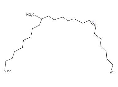 CCCCCCCCCCCCCCCCCCC(CCCCCC/C=C\CCCCCCC(C)C)C(=O)O